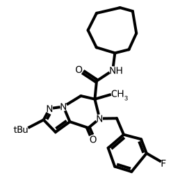 CC(C)(C)c1cc2n(n1)CC(C)(C(=O)NC1CCCCCCC1)N(Cc1cccc(F)c1)C2=O